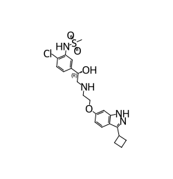 CS(=O)(=O)Nc1cc([C@@H](O)CNCCOc2ccc3c(C4CCC4)n[nH]c3c2)ccc1Cl